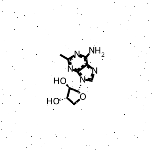 Cc1nc(N)c2ncn([C@@H]3OC[C@H](O)[C@H]3O)c2n1